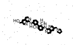 Cc1c(Nc2nccc3cc(CO)cnc23)cccc1-c1cccc(Nc2nccc3cc(CN4CCCC4)cnc23)c1C